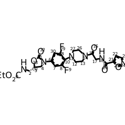 CCOC(=O)NC[C@H]1CN(c2cc(F)c(N3CCN(C(=O)CNC(=O)c4ccno4)CC3)c(F)c2)C(=O)O1